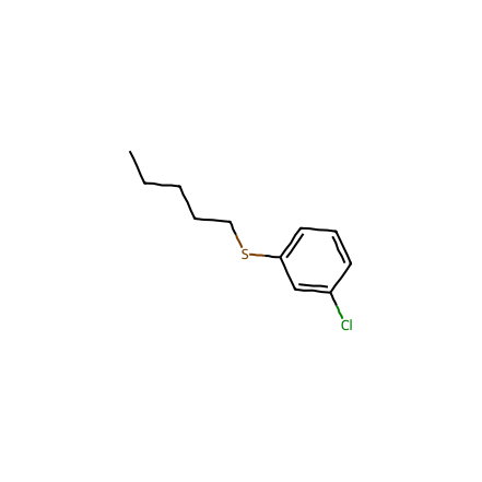 CCCCCSc1cccc(Cl)c1